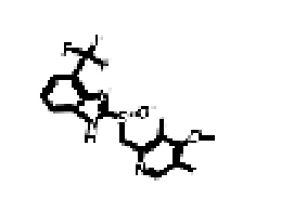 COc1c(C)cnc(C[S+]([O-])c2nc3c(C(F)(F)F)cccc3[nH]2)c1C